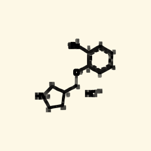 CC(C)(C)c1ccccc1OCC1CCNC1.Cl